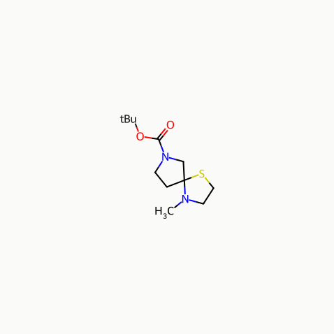 CN1CCSC12CCN(C(=O)OC(C)(C)C)C2